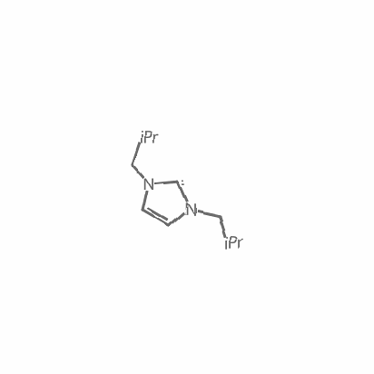 CC(C)CN1[C]N(CC(C)C)C=C1